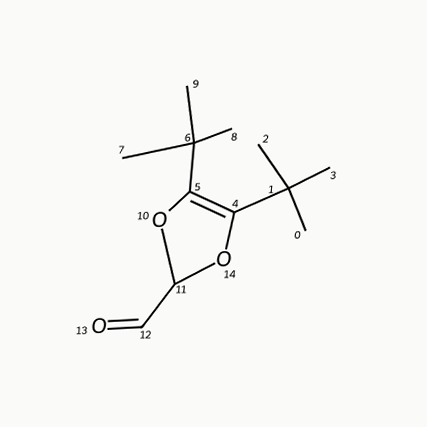 CC(C)(C)C1=C(C(C)(C)C)OC(C=O)O1